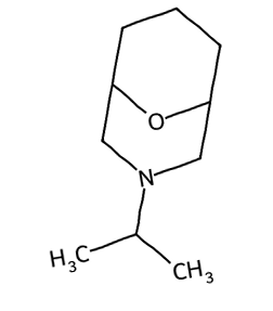 CC(C)N1CC2CCCC(C1)O2